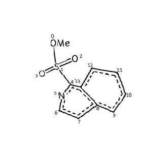 COS(=O)(=O)c1nccc2ccccc12